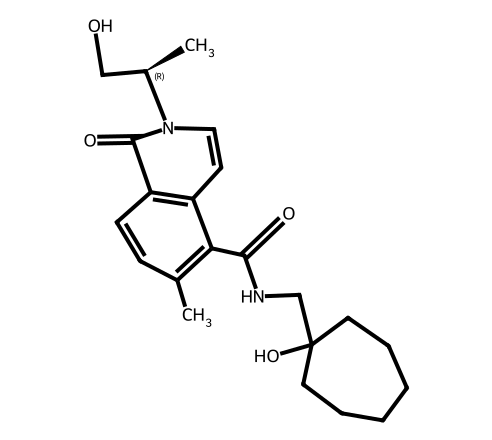 Cc1ccc2c(=O)n([C@H](C)CO)ccc2c1C(=O)NCC1(O)CCCCCC1